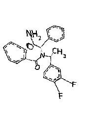 C[C@H](c1ccc(F)c(F)c1)N(C(=O)c1ccccc1)[C@H](C(N)=O)c1ccccc1